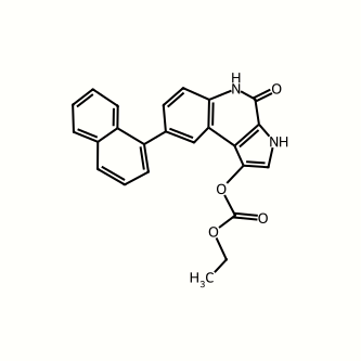 CCOC(=O)Oc1c[nH]c2c(=O)[nH]c3ccc(-c4cccc5ccccc45)cc3c12